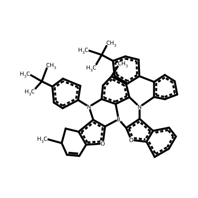 Cc1cc2c3c(c1)N(c1ccccc1-c1ccc(C(C)(C)C)cc1)c1c(oc4ccccc14)B3c1oc3c(c1N2c1ccc(C(C)(C)C)cc1)CC(C)C=C3